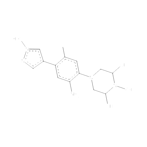 CC1CN(c2cc(F)c(-c3cnn(C)c3)cc2N)CC(C)N1C